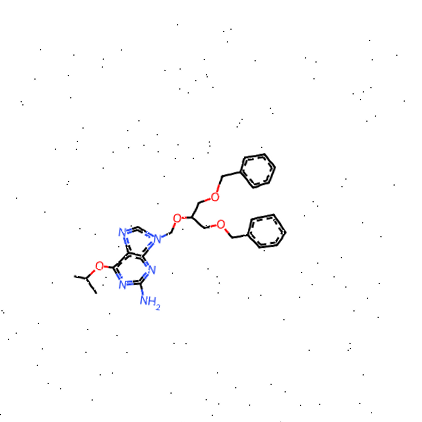 CC(C)Oc1nc(N)nc2c1ncn2COC(COCc1ccccc1)COCc1ccccc1